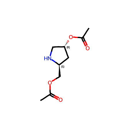 CC(=O)OC[C@@H]1C[C@@H](OC(C)=O)CN1